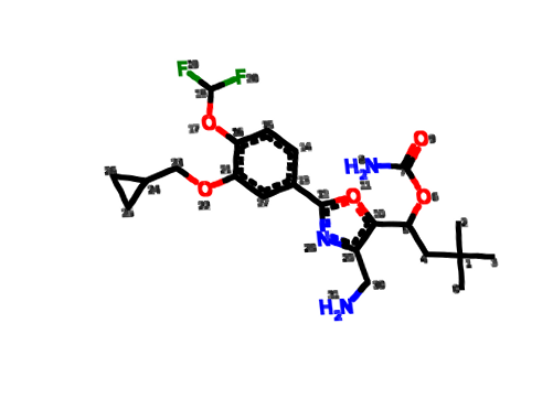 CC(C)(C)CC(OC(N)=O)c1oc(-c2ccc(OC(F)F)c(OCC3CC3)c2)nc1CN